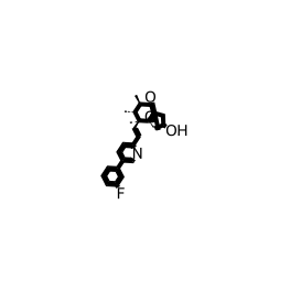 C[C@@H]1[C@@H](C)C[C@]23CC(O)C[C@]2([C@@H](C)OC3=O)[C@H]1/C=C/c1ccc(-c2cccc(F)c2)cn1